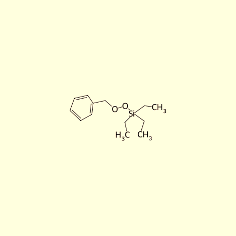 CC[Si](CC)(CC)OOCc1ccccc1